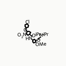 COc1ccc(NC(=O)c2ccc(Oc3ccc(Cl)cc3)c([N+](=O)[O-])c2)cc1OCCN(C(C)C)C(C)C